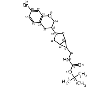 CC(C)(C)OC(=O)NCC1C2CN(C3COc4cc(Br)ccc4C3)CC12